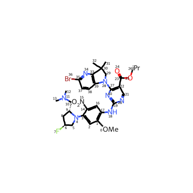 COc1cc(N2C[C@@H](F)C[C@@H]2CN(C)C)c([N+](=O)[O-])cc1Nc1ncc(C(=O)OC(C)C)c(N2CC(C)(C)c3nc(Br)ccc32)n1